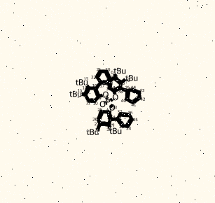 CC(C)(C)c1ccc(OP(=O)(Oc2ccc(C(C)(C)C)c(C(C)(C)C)c2-c2ccccc2)Oc2ccc(C(C)(C)C)c(C(C)(C)C)c2-c2ccccc2)c(-c2ccccc2)c1C(C)(C)C